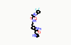 Cc1c(C(=O)NCC=Cc2ccc3c(c2)NC(=O)C3=Cc2ccc[nH]2)c(=O)n(Cc2ccc(F)c(F)c2)n1C